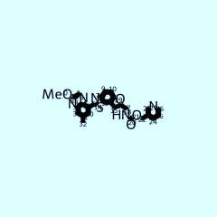 COc1cnc2c(-c3nc4ccc5c(c4s3)CC(CNC(=O)OCc3cccnc3)O5)cc(C)cc2n1